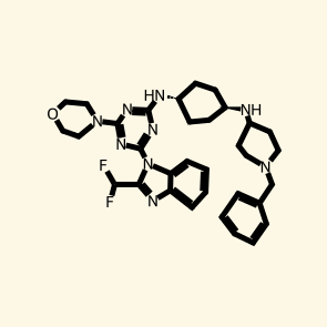 FC(F)c1nc2ccccc2n1-c1nc(N[C@H]2CC[C@H](NC3CCN(Cc4ccccc4)CC3)CC2)nc(N2CCOCC2)n1